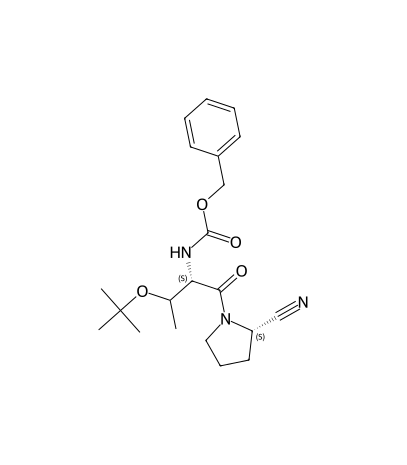 CC(OC(C)(C)C)[C@H](NC(=O)OCc1ccccc1)C(=O)N1CCC[C@H]1C#N